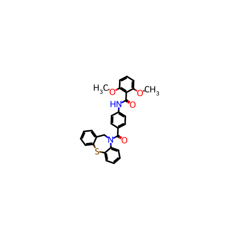 COc1cccc(OC)c1C(=O)Nc1ccc(C(=O)N2Cc3ccccc3Sc3ccccc32)cc1